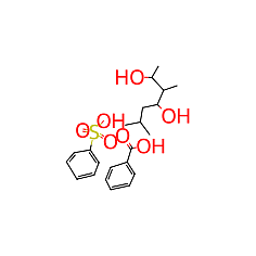 CC(C)CC(O)C(C)C(C)O.O=C(O)c1ccccc1.O=S(=O)(O)c1ccccc1